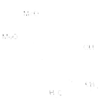 C=C(C)c1cc(OC)c(OC)cc1O